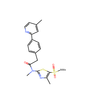 CNS(=O)(=O)c1sc(N(C)C(=O)Cc2ccc(-c3cc(C)ccn3)cc2)nc1C